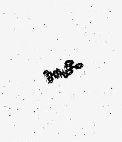 c1ccc(-c2c3ccccc3nc3c2ccc2ccc(-c4ccc5cc(-c6cc7cccnc7c7ncccc67)ccc5n4)nc23)cc1